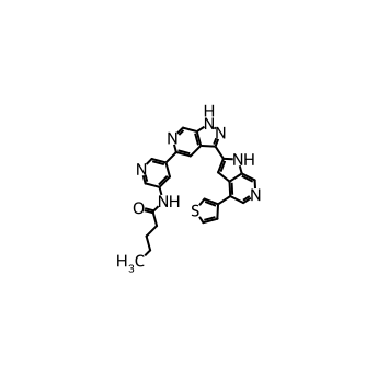 CCCCC(=O)Nc1cncc(-c2cc3c(-c4cc5c(-c6ccsc6)cncc5[nH]4)n[nH]c3cn2)c1